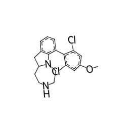 COc1cc(Cl)c(-c2cccc3c2N2CCNCCC2C3)c(Cl)c1